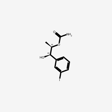 C[C@@H](OC(N)=O)[C@H](O)c1cccc(I)c1